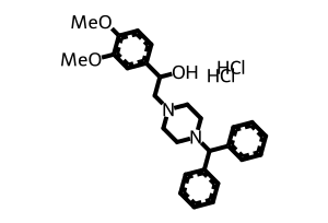 COc1ccc(C(O)CN2CCN(C(c3ccccc3)c3ccccc3)CC2)cc1OC.Cl.Cl